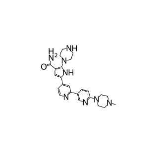 CN1CCN(c2ccc(-c3cc(-c4cc(C(N)=O)c(N5CCNCC5)[nH]4)ccn3)cn2)CC1